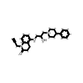 C#CCN1C(=O)CCc2c(OCC(O)CN3CCC(c4ccccc4)CC3)cccc21